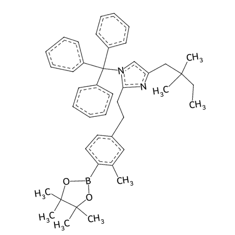 CCC(C)(C)Cc1cn(C(c2ccccc2)(c2ccccc2)c2ccccc2)c(CCc2ccc(B3OC(C)(C)C(C)(C)O3)c(C)c2)n1